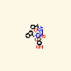 C[C@@H](NC(=O)N1C2CN(Cc3cccc4ccccc34)C(=O)[C@H](Cc3ccc(O)cc3)N2C(=O)CN1C)c1ccccc1